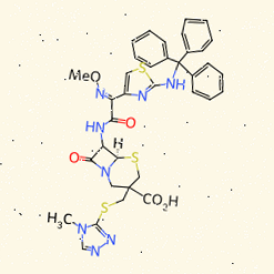 CON=C(C(=O)NC1C(=O)N2CC(CSc3nncn3C)(C(=O)O)CS[C@H]12)c1csc(NC(c2ccccc2)(c2ccccc2)c2ccccc2)n1